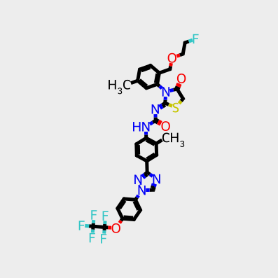 Cc1ccc(COCCF)c(N2C(=O)CS/C2=N\C(=O)Nc2ccc(-c3ncn(-c4ccc(OC(F)(F)C(F)(F)F)cc4)n3)cc2C)c1